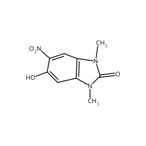 Cn1c(=O)n(C)c2cc([N+](=O)[O-])c(O)cc21